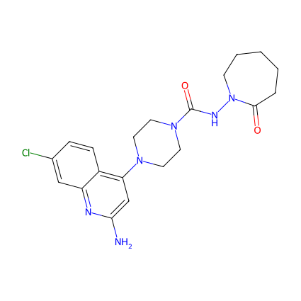 Nc1cc(N2CCN(C(=O)NN3CCCCCC3=O)CC2)c2ccc(Cl)cc2n1